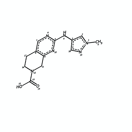 Cn1cc(Nc2ncc3c(n2)CN(C(=O)O)CC3)cn1